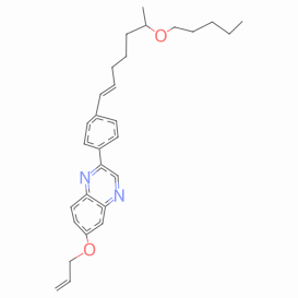 C=CCOc1ccc2nc(-c3ccc(C=CCCCC(C)OCCCCC)cc3)cnc2c1